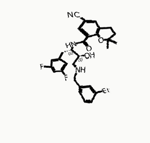 CCc1cccc(CNC[C@H](O)[C@H](Cc2cc(F)cc(F)c2)NC(=O)c2cc(C#N)cc3c2OC(C)(C)CC3)c1